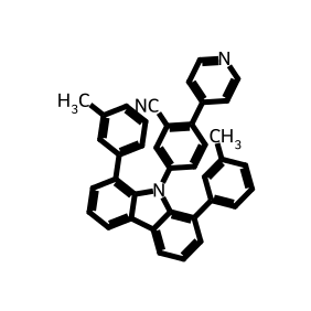 Cc1cccc(-c2cccc3c4cccc(-c5cccc(C)c5)c4n(-c4ccc(-c5ccncc5)c(C#N)c4)c23)c1